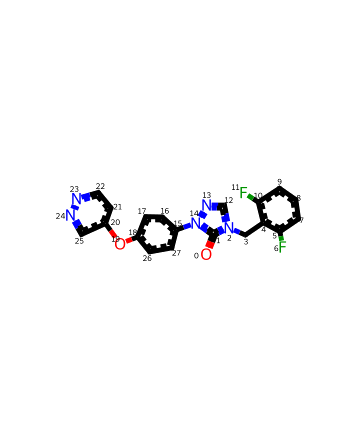 O=c1n(Cc2c(F)cccc2F)cnn1-c1ccc(Oc2ccnnc2)cc1